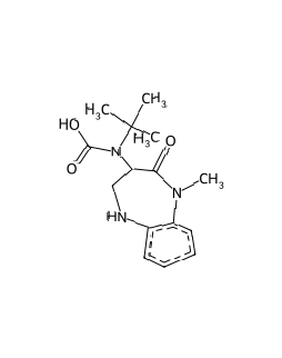 CN1C(=O)C(N(C(=O)O)C(C)(C)C)CNc2ccccc21